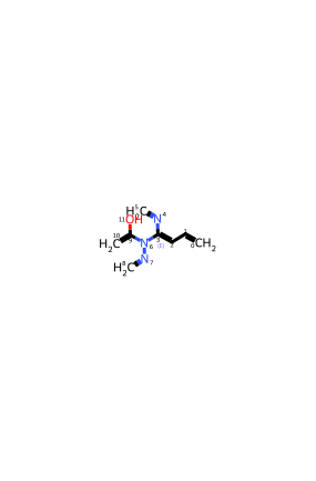 C=C/C=C(\N=C)N(N=C)C(=C)O